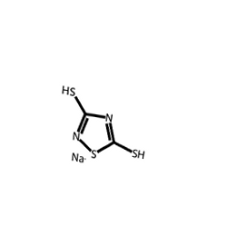 Sc1nsc(S)n1.[Na]